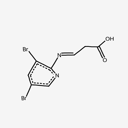 O=C(O)C/C=N/c1ncc(Br)cc1Br